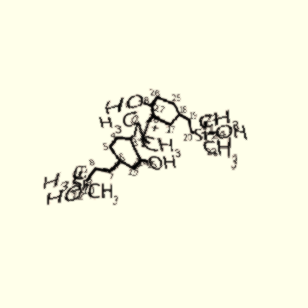 C[N+](C)(C1CCC(CC[Si](C)(C)O)CC1O)C1CC(CC[Si](C)(C)O)CCC1O